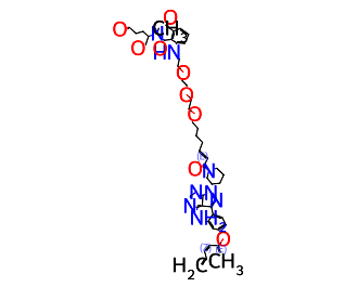 C=C/C=C\C(=C/C)Oc1ccc(-c2nn(C3CCCN(C(=O)/C=C/CCCCOCCOCCOCCNc4cccc(C=O)c4C(=O)N(C)C(C=O)CCC=O)C3)c3ncnc(N)c23)cc1